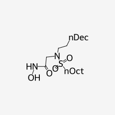 CCCCCCCCCCCCN(CC(=O)NO)S(=O)(=O)CCCCCCCC